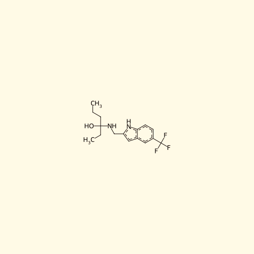 CCCC(O)(CC)NCc1cc2cc(C(F)(F)F)ccc2[nH]1